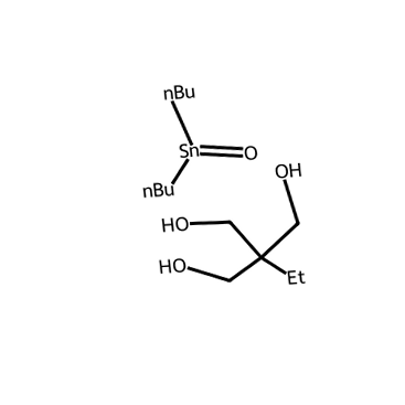 CCC(CO)(CO)CO.CCC[CH2][Sn](=[O])[CH2]CCC